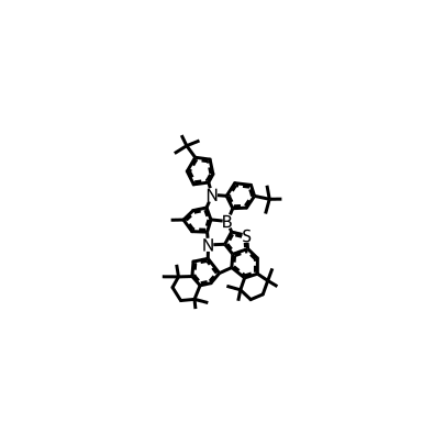 Cc1cc2c3c(c1)N1c4cc5c(cc4-c4c6c(cc7sc(c1c47)B3c1cc(C(C)(C)C)ccc1N2c1ccc(C(C)(C)C)cc1)C(C)(C)CCC6(C)C)C(C)(C)CCC5(C)C